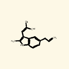 C=CCc1ccc2[nH]c(C)c(C=C(C#N)C#N)c2c1